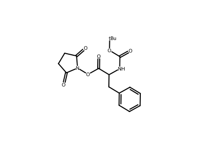 CC(C)(C)OC(=O)NC(Cc1ccccc1)C(=O)ON1C(=O)CCC1=O